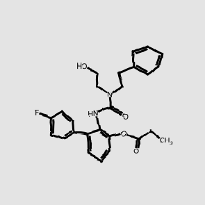 CCC(=O)Oc1cccc(-c2ccc(F)cc2)c1NC(=O)N(CCO)CCc1ccccc1